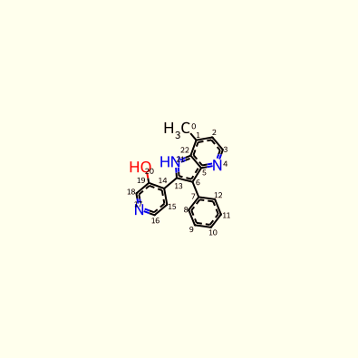 Cc1ccnc2c(-c3ccccc3)c(-c3ccncc3O)[nH]c12